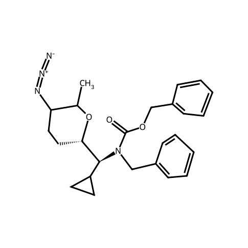 CC1O[C@H]([C@H](C2CC2)N(Cc2ccccc2)C(=O)OCc2ccccc2)CCC1N=[N+]=[N-]